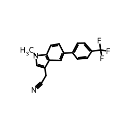 Cn1cc(CC#N)c2cc(-c3ccc(C(F)(F)F)cc3)ccc21